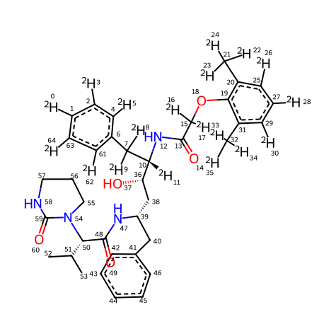 [2H]c1c([2H])c([2H])c(C([2H])([2H])[C@]([2H])(NC(=O)C([2H])([2H])Oc2c(C([2H])([2H])[2H])c([2H])c([2H])c([2H])c2C([2H])([2H])[2H])[C@@H](O)C[C@H](Cc2ccccc2)NC(=O)[C@H](C(C)C)N2CCCNC2=O)c([2H])c1[2H]